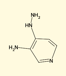 NNc1ccncc1N